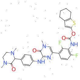 CN1CCN(C)C(c2ccc(Nc3nc(-c4ccc(F)c(NC(=O)Oc5cc6c(s5)CCCC6)c4F)cn(C)c3=O)cc2)C1=O